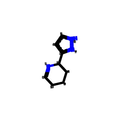 C1=NC(c2cc[nH]n2)CCC1